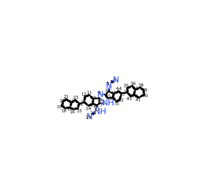 N#C/N=C1/C2=C(NC3C(=N2)c2ccc(-c4ccc5ccccc5c4)cc2C3NC#N)c2ccc(-c3ccc4ccccc4c3)cc21